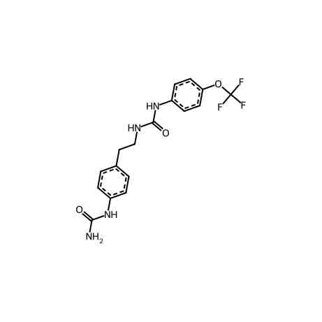 NC(=O)Nc1ccc(CCNC(=O)Nc2ccc(OC(F)(F)F)cc2)cc1